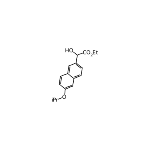 CCOC(=O)C(O)c1ccc2cc(OC(C)C)ccc2c1